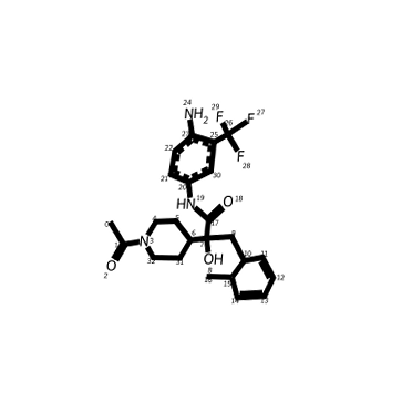 CC(=O)N1CCC(C(O)(CC2C=CC=CC2C)C(=O)Nc2ccc(N)c(C(F)(F)F)c2)CC1